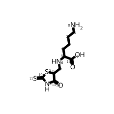 NCCCCC(NCC1SC(=S)NC1=O)C(=O)O